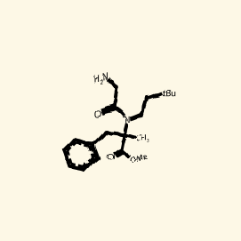 COC(=O)C(C)(Cc1ccccc1)N(CCC(C)(C)C)C(=O)CN